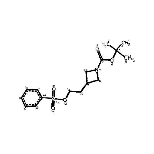 CC(C)(C)OC(=O)N1CC(CCOS(=O)(=O)c2ccccc2)C1